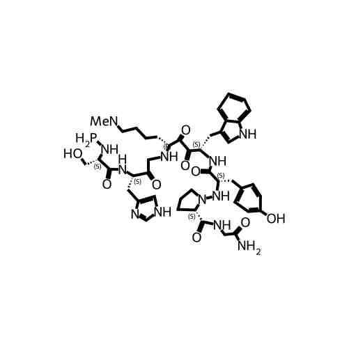 CNCCCC[C@@H](NCC(=O)[C@H](Cc1c[nH]cn1)NC(=O)[C@H](CO)NP)C(=O)C(=O)[C@H](Cc1c[nH]c2ccccc12)NC(=O)[C@H](Cc1ccc(O)cc1)NN1CCC[C@H]1C(=O)NCC(N)=O